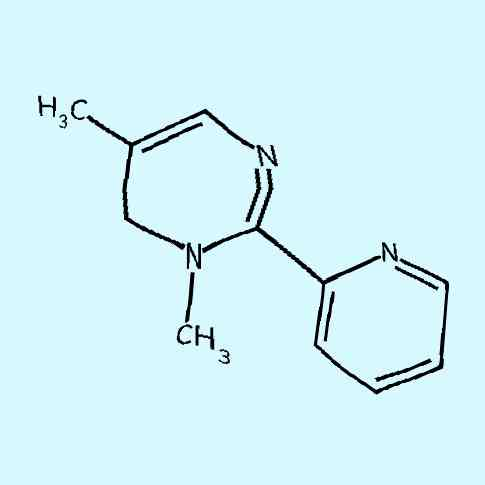 CC1=CN=C(c2ccccn2)N(C)C1